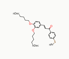 CCCCCCCCCCCCCCOc1ccc(/C=C/C(=O)c2ccc(SCCC)cc2)cc1OCCCCCCCCCCCCCC